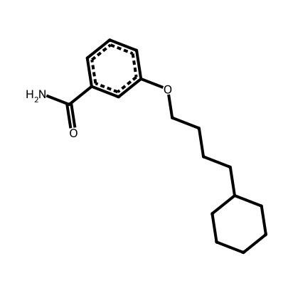 NC(=O)c1cccc(OCCCCC2CCCCC2)c1